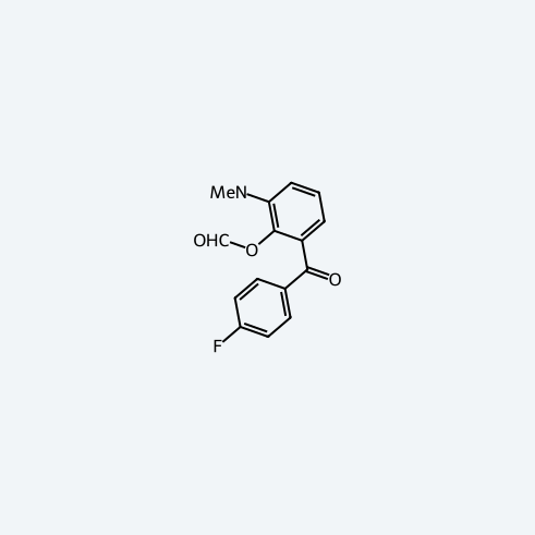 CNc1cccc(C(=O)c2ccc(F)cc2)c1OC=O